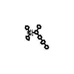 c1ccc(-c2ccc(-c3ccc(-c4cc(-c5ccccc5)cc(-c5nc(-c6ccccc6)nc(-c6ccccc6)n5)c4)cc3)cc2)cc1